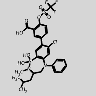 CC(C)CC1CN(c2ccccc2)c2cc(Cl)c(-c3ccc(OS(=O)(=O)C(F)(F)F)c(C(=O)O)c3)cc2S(O)(O)N1C